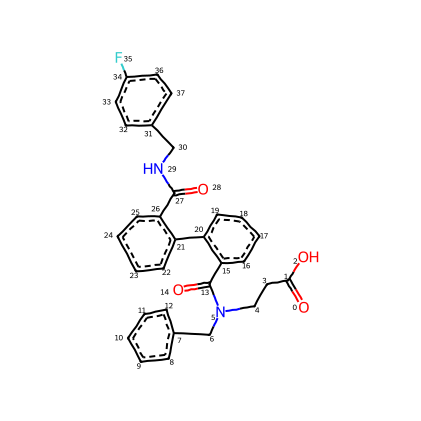 O=C(O)CCN(Cc1ccccc1)C(=O)c1ccccc1-c1ccccc1C(=O)NCc1ccc(F)cc1